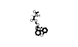 CC(=O)N[C@@H](C)C(=O)OCOC(=O)N(C)C1(c2ccccc2Cl)CCCCC1=O